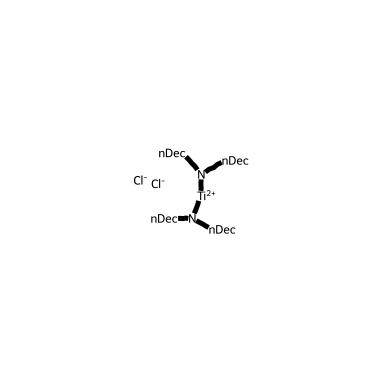 CCCCCCCCCC[N](CCCCCCCCCC)[Ti+2][N](CCCCCCCCCC)CCCCCCCCCC.[Cl-].[Cl-]